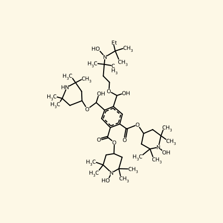 CCC(C)(C)N(O)C(C)(C)CCOC(O)c1cc(C(=O)OC2CC(C)(C)N(O)C(C)(C)C2)c(C(=O)OC2CC(C)(C)N(O)C(C)(C)C2)cc1C(O)OC1CC(C)(C)NC(C)(C)C1